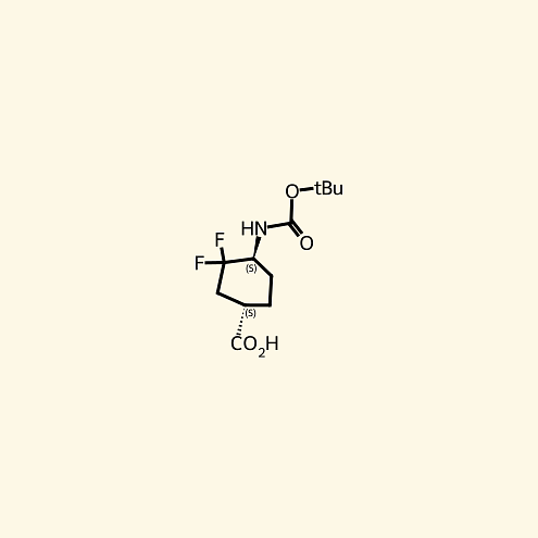 CC(C)(C)OC(=O)N[C@H]1CC[C@H](C(=O)O)CC1(F)F